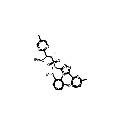 COc1cccc(OC)c1-n1c(NS(=O)(=O)[C@@H](C)[C@@H](OC(C)C)c2ncc(C)cn2)nnc1-c1cccc(C)n1